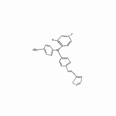 CCCCc1ccc(N(c2ccc(/C=C/c3cccs3)cc2)c2ccc(F)cc2F)cc1